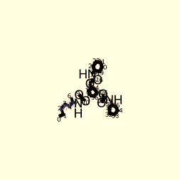 C=C/C=C\C=C(/C)NC(=O)Oc1cc(OC(=O)Nc2ccccc2)cc(OC(=O)Nc2ccccc2)c1